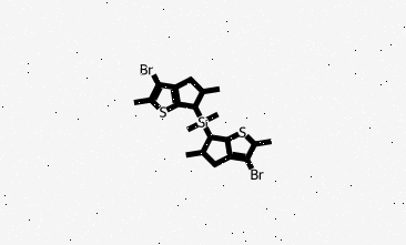 Cc1sc2c(c1Br)CC(C)C2[Si](C)(C)C1C(C)CC2=C(Br)C(C)SC21